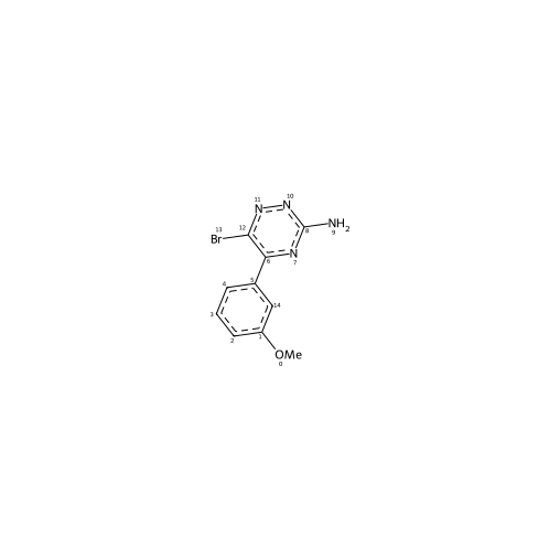 COc1cccc(-c2nc(N)nnc2Br)c1